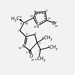 CC(C)C1(C)CC(C[C@@H](C)c2ccc(Br)s2)=NC1=O